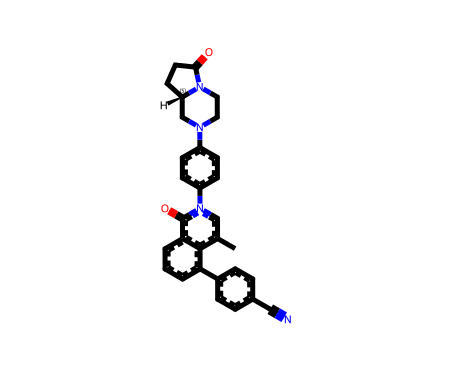 Cc1cn(-c2ccc(N3CCN4C(=O)CC[C@H]4C3)cc2)c(=O)c2cccc(-c3ccc(C#N)cc3)c12